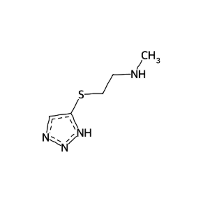 CNCCSc1cnn[nH]1